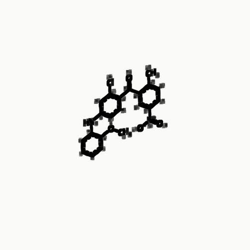 COc1ccccc1Nc1ccc(C(=O)c2cc([N+](=O)[O-])ccc2C)c(Cl)c1